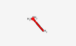 C=C=C=C=C=C=C=C=C=C=C=C=C=C=C=C=C=C=C=C=C=C=C=C=C=C=C=C=C=C=C=C=C=C(C(=O)OCC=C)C(=O)OCC=C